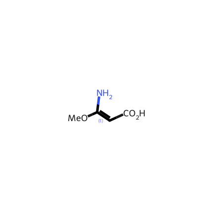 CO/C(N)=C/C(=O)O